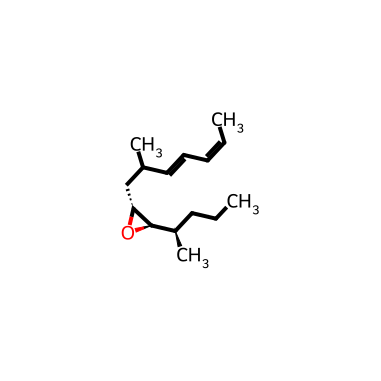 C/C=C\C=C\C(C)C[C@H]1O[C@@H]1[C@H](C)CCC